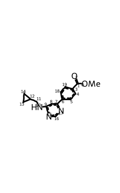 COC(=O)c1ccc(-c2cc(NCC3CC3)ncn2)cc1